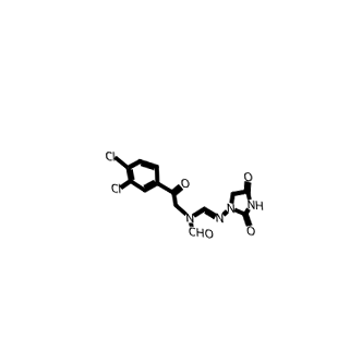 O=CN(/C=N/N1CC(=O)NC1=O)CC(=O)c1ccc(Cl)c(Cl)c1